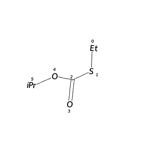 CCSC(=O)OC(C)C